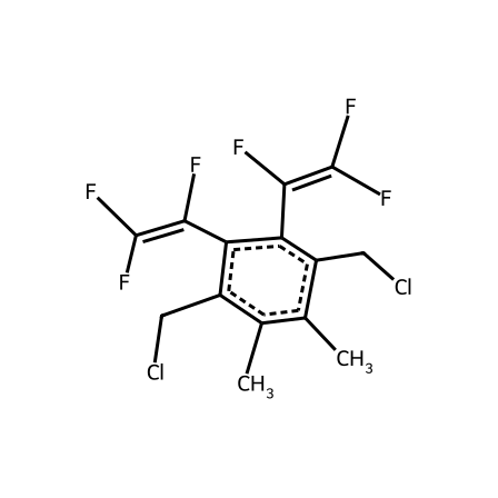 Cc1c(C)c(CCl)c(C(F)=C(F)F)c(C(F)=C(F)F)c1CCl